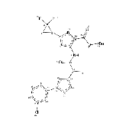 CC(C(=O)Nc1cc(C2CC2(F)F)nn1C(=O)OC(C)(C)C)c1cnn(-c2cccc(Cl)c2)c1